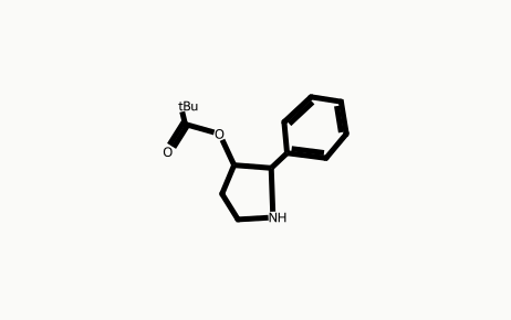 CC(C)(C)C(=O)OC1CCNC1c1ccccc1